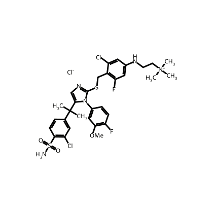 COc1cc(-n2c(C(C)(C)c3ccc(S(N)(=O)=O)c(Cl)c3)cnc2SCc2c(F)cc(NCC[N+](C)(C)C)cc2Cl)ccc1F.[Cl-]